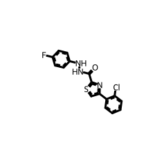 O=C(NNc1ccc(F)cc1)c1nc(-c2ccccc2Cl)cs1